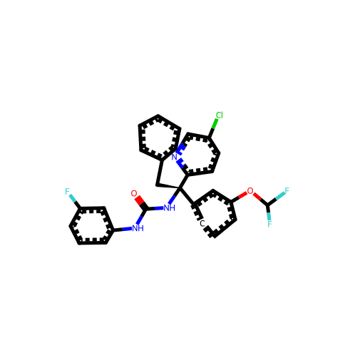 O=C(Nc1cccc(F)c1)N[C@@](Cc1ccccc1)(c1cccc(OC(F)F)c1)c1ccc(Cl)cn1